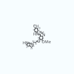 COc1cc2ncnc(Nc3ccc(C)cc3)c2cc1OCCCN1CCC2CCNCC21